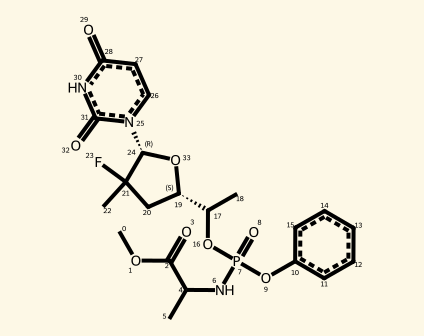 COC(=O)C(C)NP(=O)(Oc1ccccc1)OC(C)[C@@H]1CC(C)(F)[C@H](n2ccc(=O)[nH]c2=O)O1